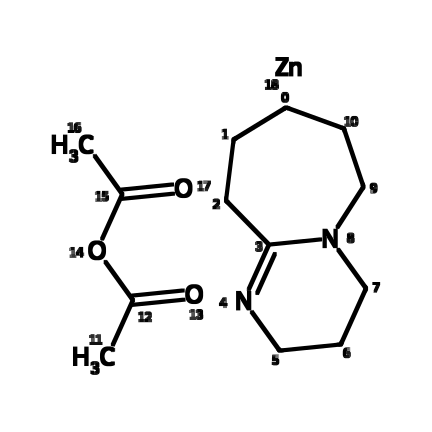 C1CCC2=NCCCN2CC1.CC(=O)OC(C)=O.[Zn]